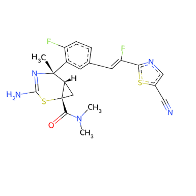 CN(C)C(=O)[C@]12C[C@H]1[C@@](C)(c1cc(/C=C(\F)c3ncc(C#N)s3)ccc1F)N=C(N)S2